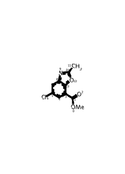 COC(=O)c1cc(Cl)cc2nc(C)oc12